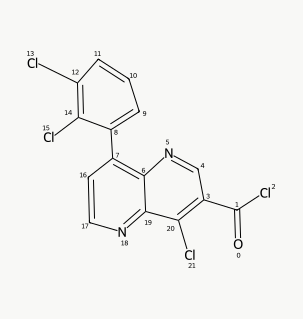 O=C(Cl)c1cnc2c(-c3cccc(Cl)c3Cl)ccnc2c1Cl